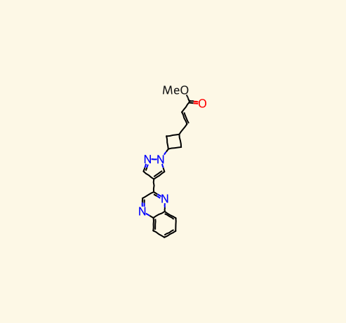 COC(=O)/C=C/C1CC(n2cc(-c3cnc4ccccc4n3)cn2)C1